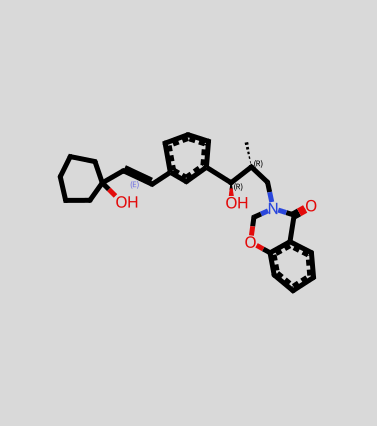 C[C@H](CN1COc2ccccc2C1=O)[C@@H](O)c1cccc(/C=C/C2(O)CCCCC2)c1